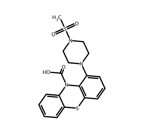 CS(=O)(=O)N1CCN(c2cccc3c2N(C(=O)O)c2ccccc2S3)CC1